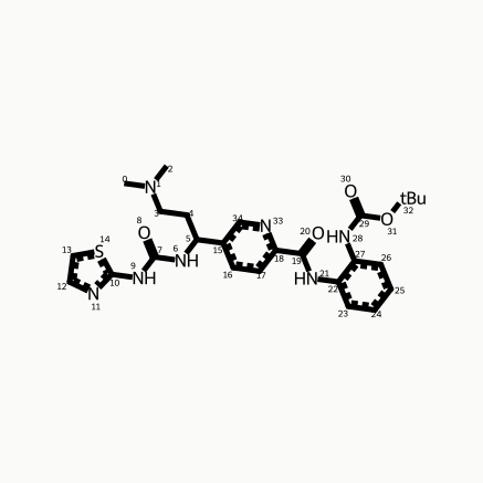 CN(C)CCC(NC(=O)Nc1nccs1)c1ccc(C(=O)Nc2ccccc2NC(=O)OC(C)(C)C)nc1